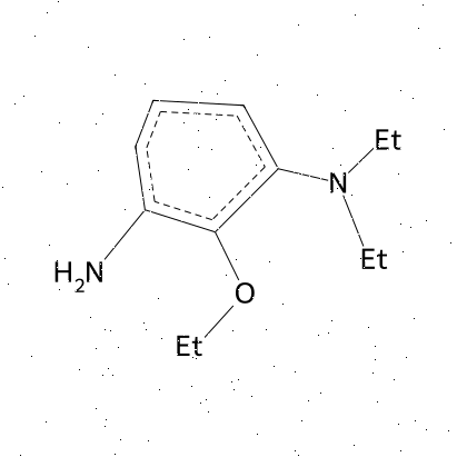 CCOc1c(N)cccc1N(CC)CC